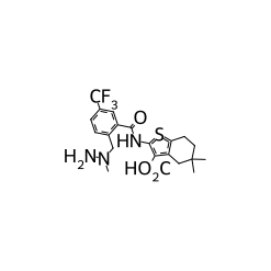 CN(N)Cc1ccc(C(F)(F)F)cc1C(=O)Nc1sc2c(c1C(=O)O)CC(C)(C)CC2